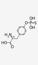 N[C@@H](Cc1ccc(OP(O)(O)=S)cc1)C(=O)O